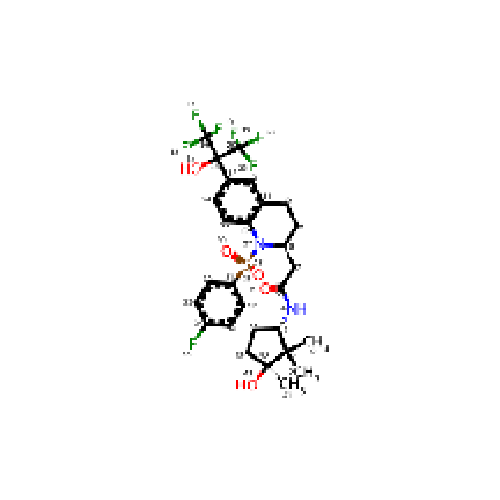 CC1(C)[C@@H](NC(=O)C[C@@H]2CCc3cc(C(O)(C(F)(F)F)C(F)(F)F)ccc3N2S(=O)(=O)c2ccc(F)cc2)CC[C@]1(C)O